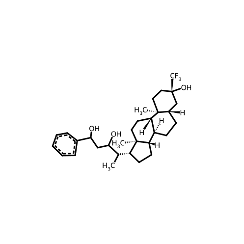 CC(C(O)CC(O)c1ccccc1)[C@H]1CC[C@H]2[C@@H]3CC[C@H]4C[C@](O)(C(F)(F)F)CC[C@]4(C)[C@H]3CC[C@]12C